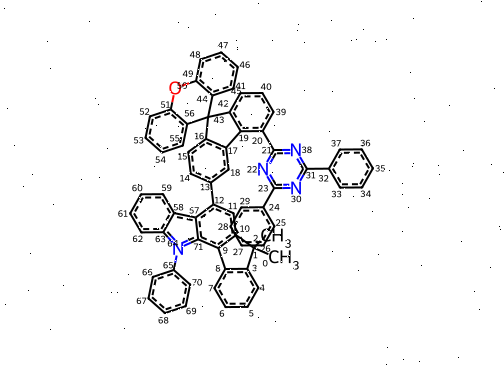 CC1(C)c2ccccc2-c2c1cc(-c1ccc3c(c1)-c1c(-c4nc(-c5ccccc5)nc(-c5ccccc5)n4)cccc1C31c3ccccc3Oc3ccccc31)c1c3ccccc3n(-c3ccccc3)c21